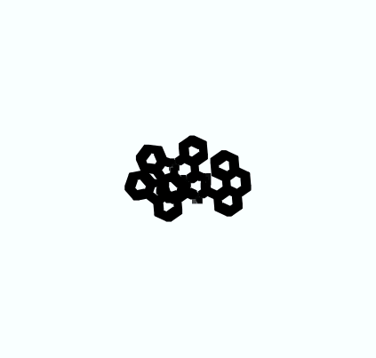 c1ccc(-n2c3ccccc3c3ccccc32)c(-c2nc(-c3cccc4c3oc3ccccc34)nc(-c3cccc4ccc5ccccc5c34)n2)c1